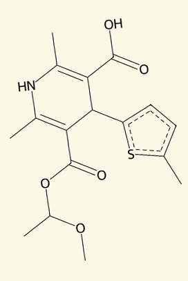 COC(C)OC(=O)C1=C(C)NC(C)=C(C(=O)O)C1c1ccc(C)s1